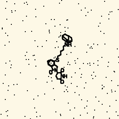 O=C1CCC(N2Cc3c(SCCCCCNC45CC6CC(CC(C6)C4)C5)cccc3C2=O)C(=O)N1